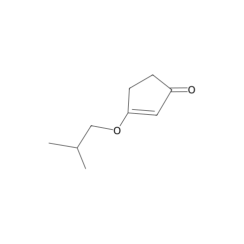 CC(C)COC1=CC(=O)CC1